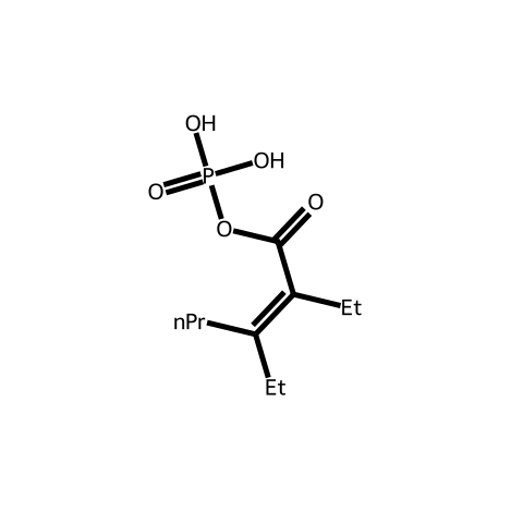 CCCC(CC)=C(CC)C(=O)OP(=O)(O)O